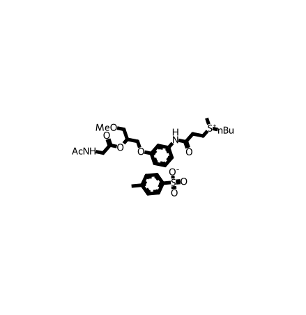 CCCC[S+](C)CCC(=O)Nc1cccc(OCC(COC)OC(=O)CNC(C)=O)c1.Cc1ccc(S(=O)(=O)[O-])cc1